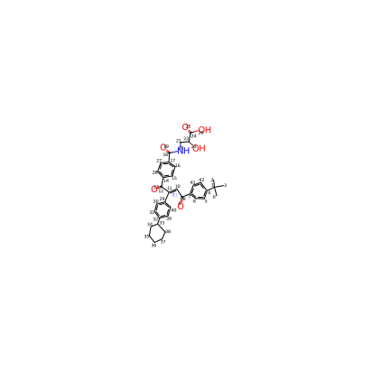 CC(C)(C)c1ccc(C(=O)/C=C(/C(=O)c2ccc(C(=O)NCC(O)C(=O)O)cc2)c2ccc(C3CCCCC3)cc2)cc1